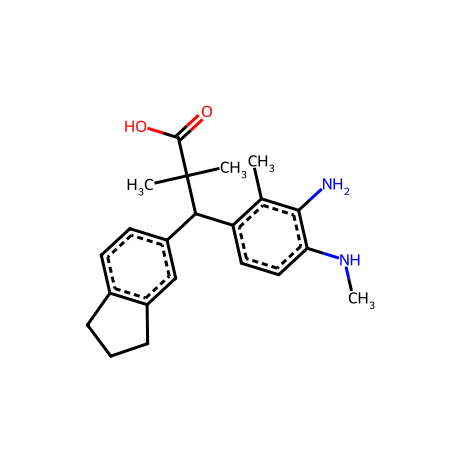 CNc1ccc(C(c2ccc3c(c2)CCC3)C(C)(C)C(=O)O)c(C)c1N